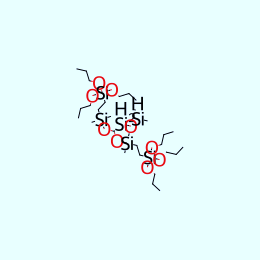 CCCO[Si](CC[Si](C)(C)OC(O[Si](C)(C)CC[Si](OCCC)(OCCC)OCCC)[SiH2]O[SiH](C)C)(OCCC)OCCC